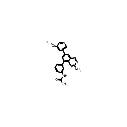 COc1cncc(-c2cc(-c3cccc(NC(C)=O)c3)c3nc(N)ncc3c2)c1